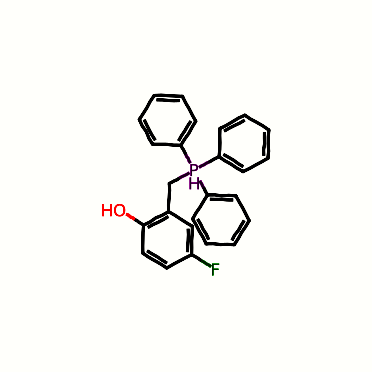 Oc1ccc(F)cc1C[PH](c1ccccc1)(c1ccccc1)c1ccccc1